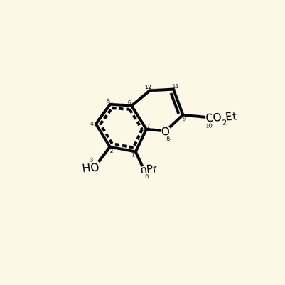 CCCc1c(O)ccc2c1OC(C(=O)OCC)=CC2